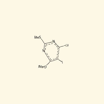 COc1nc(SC)nc(Cl)c1I